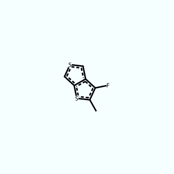 Cc1sc2cscc2c1F